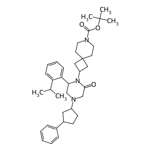 CC(C)c1ccccc1C1CN(C2CCC(c3ccccc3)C2)CC(=O)N1C1CC2(CCN(C(=O)OC(C)(C)C)CC2)C1